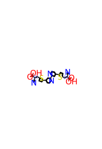 N#C/C(=C\c1ccc(-c2ccnc(-c3cc(-c4ccc(/C=C(\C#N)C(=O)O)s4)ccn3)c2)s1)C(=O)O